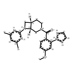 COc1ccc(C(=O)N2CC[C@H]3CN(c4nc(C)cc(C)n4)[C@H]3C2)c(-n2nccn2)c1